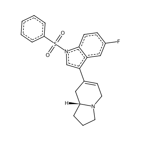 O=S(=O)(c1ccccc1)n1cc(C2=CCN3CCC[C@@H]3C2)c2cc(F)ccc21